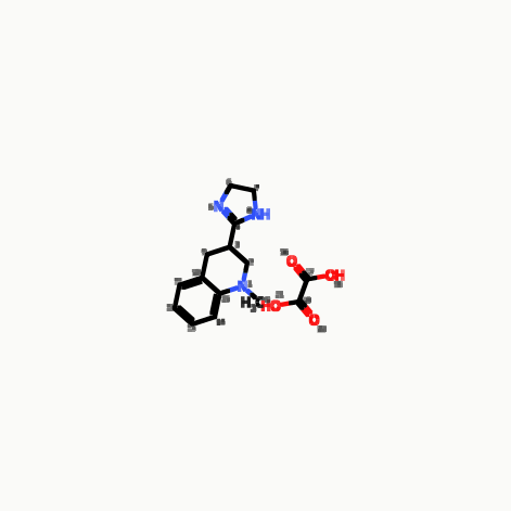 CN1CC(C2=NCCN2)Cc2ccccc21.O=C(O)C(=O)O